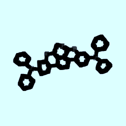 c1ccc(N(c2ccccc2)c2ccc3c(c2)Oc2ccc4c5c(ccc-3c25)-c2ccc(N(c3ccccc3)c3ccccc3)cc2O4)cc1